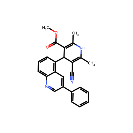 COC(=O)C1=C(C)NC(C)=C(C#N)C1c1cccc2ncc(-c3ccccc3)cc12